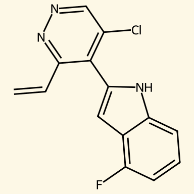 C=Cc1nncc(Cl)c1-c1cc2c(F)cccc2[nH]1